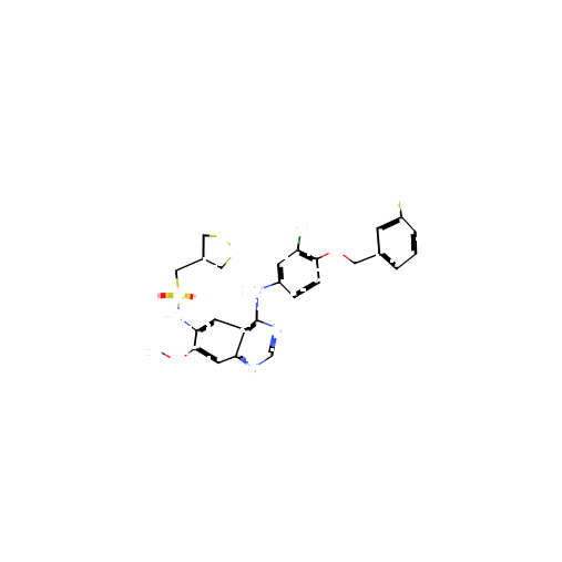 CCOc1cc2ncnc(Nc3ccc(OCc4cccc(F)c4)c(Cl)c3)c2cc1NS(=O)(=O)CC1CSSC1